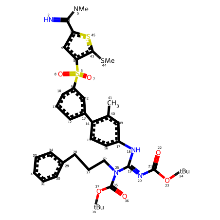 CNC(=N)c1cc(S(=O)(=O)c2cccc(-c3ccc(N/C(=N\C(=O)OC(C)(C)C)N(CCCc4ccccc4)C(=O)OC(C)(C)C)cc3C)c2)c(SC)s1